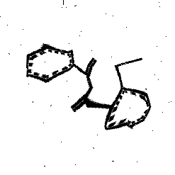 C=C(C(=C)c1ccccc1CC)c1ccccc1